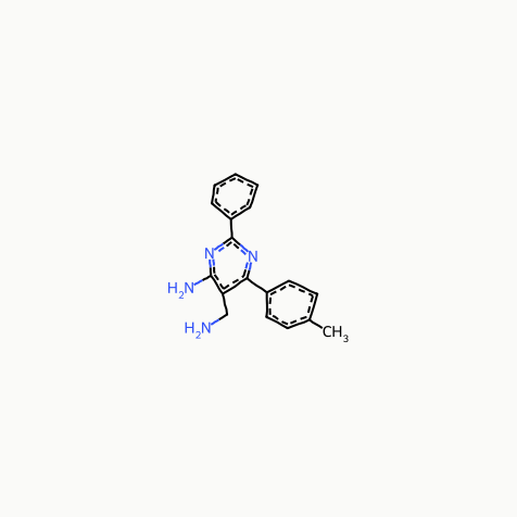 Cc1ccc(-c2nc(-c3ccccc3)nc(N)c2CN)cc1